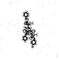 Cn1c(C(C)(C)NC(=O)OCc2ccccc2)nc(C(=O)NNC(=O)Cc2ccc(F)cc2)c(OCc2ccccc2)c1=O